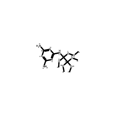 COOC(Nc1nc(N)nc(N)n1)(OC)C(OC)(OC)OC